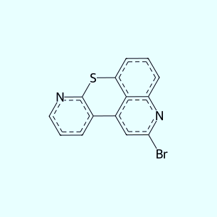 Brc1cc2c3c(cccc3n1)Sc1ncccc1-2